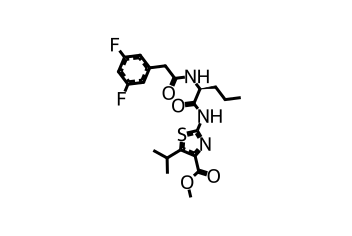 CCC[C@H](NC(=O)Cc1cc(F)cc(F)c1)C(=O)Nc1nc(C(=O)OC)c(C(C)C)s1